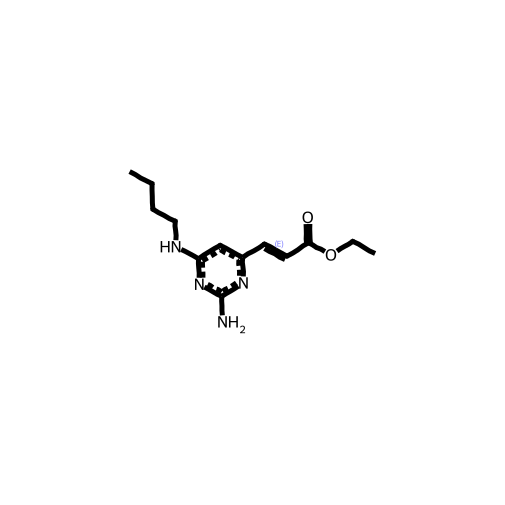 CCCCNc1cc(/C=C/C(=O)OCC)nc(N)n1